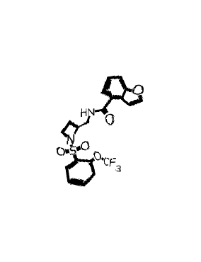 O=C(NC[C@@H]1CCN1S(=O)(=O)c1ccccc1OC(F)(F)F)c1cccc2occc12